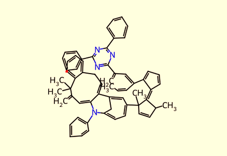 C=C(/C=C(\C=C/C)C1=CC=C/C1=C1\C(C)C=CC1(C)C1=CC=C2CC(=C1)C1=C/Cc3ccccc3C(C)(C)C(=C)/C=C\1N2c1ccccc1)c1nc(-c2ccccc2)nc(-c2ccccc2)n1